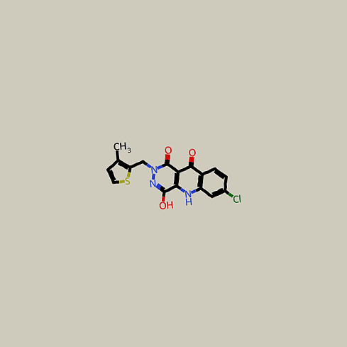 Cc1ccsc1Cn1nc(O)c2[nH]c3cc(Cl)ccc3c(=O)c2c1=O